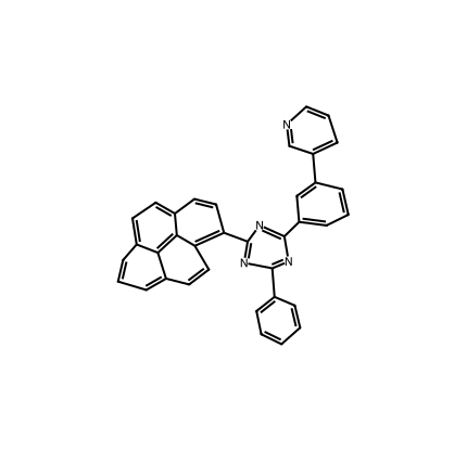 c1ccc(-c2nc(-c3cccc(-c4cccnc4)c3)nc(-c3ccc4ccc5cccc6ccc3c4c56)n2)cc1